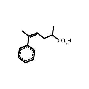 C/C(=C/CC(C)C(=O)O)c1ccccc1